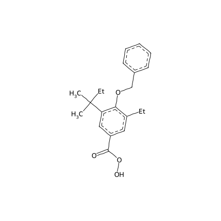 CCc1cc(C(=O)OO)cc(C(C)(C)CC)c1OCc1ccccc1